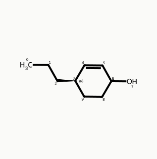 CCC[C@H]1C=CC(O)CC1